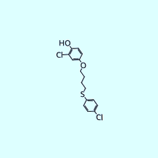 Oc1ccc(OCCCCSc2ccc(Cl)cc2)cc1Cl